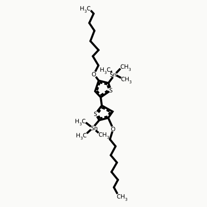 CCCCCCCCOc1cc(-c2cc(OCCCCCCCC)[c]([Sn]([CH3])([CH3])[CH3])s2)s[c]1[Sn]([CH3])([CH3])[CH3]